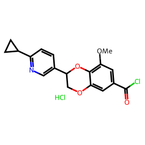 COc1cc(C(=O)Cl)cc2c1OC(c1ccc(C3CC3)nc1)CO2.Cl